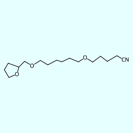 N#CCCCCOCCCCCCOCC1CCCO1